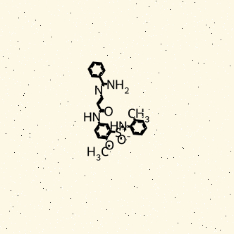 COc1ccc(NC(=O)/C=C/N=C(\N)c2ccccc2)cc1[S+]([O-])Nc1ccccc1C